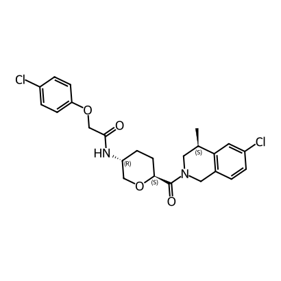 C[C@@H]1CN(C(=O)[C@@H]2CC[C@@H](NC(=O)COc3ccc(Cl)cc3)CO2)Cc2ccc(Cl)cc21